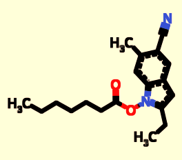 CCCCCCC(=O)On1c(CC)cc2cc(C#N)c(C)cc21